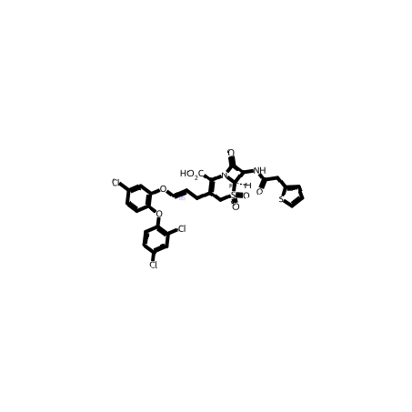 O=C(Cc1cccs1)NC1C(=O)N2C(C(=O)O)=C(C/C=C/Oc3cc(Cl)ccc3Oc3ccc(Cl)cc3Cl)CS(=O)(=O)[C@H]12